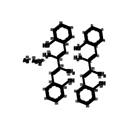 NC(=Cc1ccccc1O)C(N)=Cc1ccccc1O.NC(=Cc1ccccc1O)C(N)=Cc1ccccc1O.[Ag+].[Ag+].[O-2]